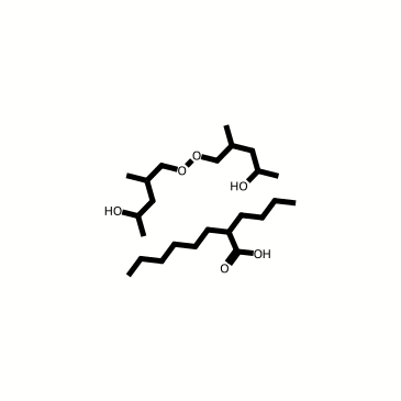 CC(O)CC(C)COOCC(C)CC(C)O.CCCCCCC(CCCC)C(=O)O